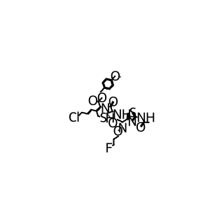 COc1ccc(COC(=O)C2=C(/C=C/CCl)CS[C@H]3[C@H](NC(=O)/C(=N\OCCCF)c4csc(NC(C)=O)n4)C(=O)N23)cc1